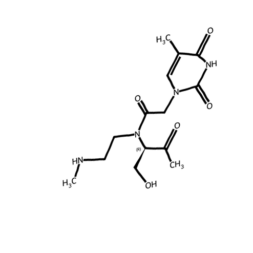 CNCCN(C(=O)Cn1cc(C)c(=O)[nH]c1=O)[C@H](CO)C(C)=O